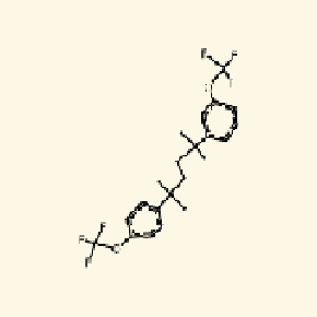 CC(C)(CCC(C)(C)c1cccc(OC(F)(F)F)c1)c1ccc(OC(F)(F)F)cc1